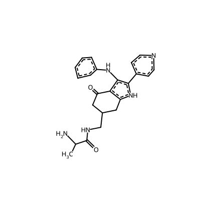 CC(N)C(=O)NCC1CC(=O)c2c([nH]c(-c3ccncc3)c2Nc2ccccc2)C1